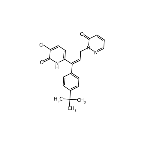 CC(C)(C)c1ccc(C(=CCn2ncccc2=O)c2ccc(Cl)c(=O)[nH]2)cc1